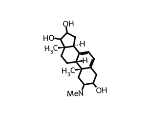 CNC1C[C@@]2(C)C(=CC=C3[C@H]2CC[C@]2(C)C(O)C(O)C[C@@H]32)CC1O